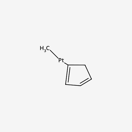 [CH3][Pt][C]1=CC=CC1